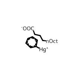 CCCCCCCCCCCC(=O)[O-].[Hg+][c]1ccccc1